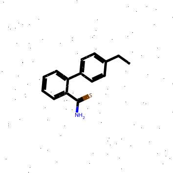 CCc1ccc(-c2ccccc2C(N)=S)cc1